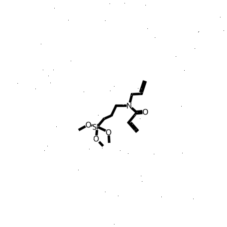 C=CCN(CCC[Si](OC)(OC)OC)C(=O)C=C